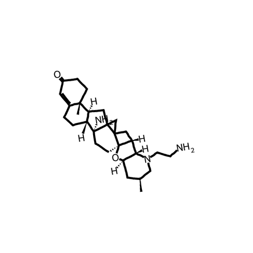 C[C@H]1C[C@H]2O[C@@]34CC[C@@]5(N)[C@@H]6CCC7=CC(=O)CC[C@]7(C)[C@H]6CC56CC63C[C@@H]4[C@@H]2N(CCN)C1